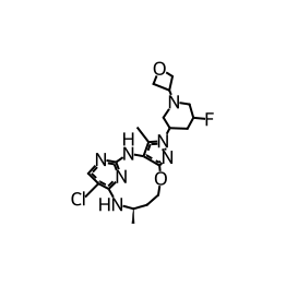 Cc1c2c(nn1C1CC(F)CN(C3COC3)C1)OCC[C@@H](C)Nc1nc(ncc1Cl)N2